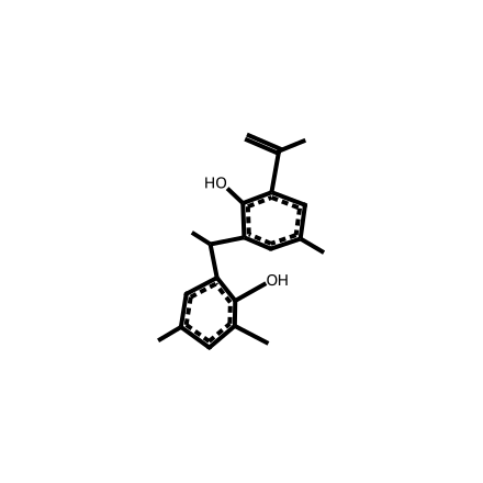 C=C(C)c1cc(C)cc(C(C)c2cc(C)cc(C)c2O)c1O